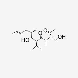 C/C=C/C[C@@H](C)[C@@H](O)[C@@H](C(=O)C(C)[C@@H](CO)C(C)=O)C(C)C